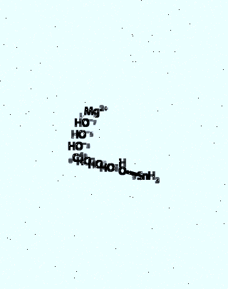 [C+4].[Mg+2].[OH-].[OH-].[OH-].[OH-].[OH-].[OH-].[OH][SnH3]